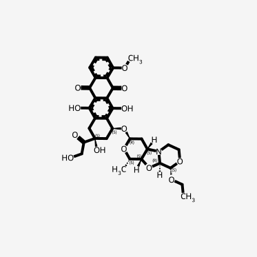 CCO[C@H]1OCCN2[C@@H]1O[C@@H]1[C@H](C)O[C@@H](O[C@H]3C[C@](O)(C(=O)CO)Cc4c(O)c5c(c(O)c43)C(=O)c3c(OC)cccc3C5=O)C[C@@H]12